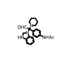 CC(=O)Nc1ccc(C(C=O)(N2CCCCC2)N2CNc3ccccc32)cc1